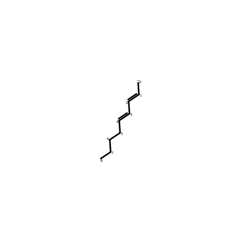 [CH]C=CC=CCCCC